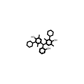 Cc1cc(C(c2ccccc2O)c2cc(C)c(O)c(C3CCCCC3)c2C)c(C)c(C2CCCCC2)c1O